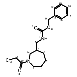 O=C(NCC1CCCCN(C(=O)CCl)C1)OCc1ccccc1